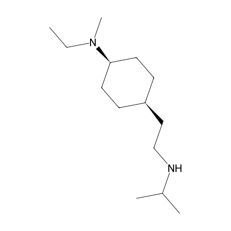 CCN(C)[C@H]1CC[C@@H](CCNC(C)C)CC1